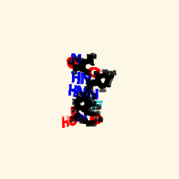 CCc1nocc1C(=O)NC(c1nc2c(F)c(C3COCCN3C(=O)O)ccc2[nH]1)C1CCC(C)CC1